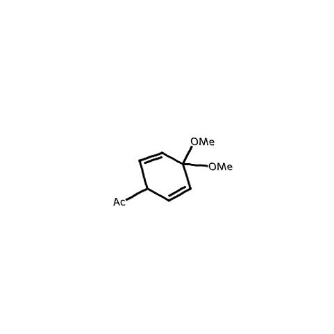 COC1(OC)C=CC(C(C)=O)C=C1